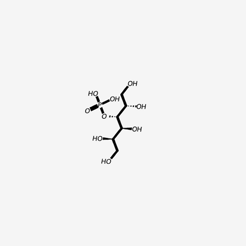 O=P(O)(O)O[C@@H]([C@@H](O)[C@H](O)CO)[C@@H](O)CO